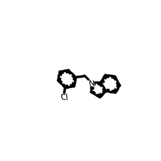 Clc1cccc(Cn2ccc3ccccc32)c1